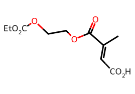 CCOC(=O)OCCOC(=O)C(C)=CC(=O)O